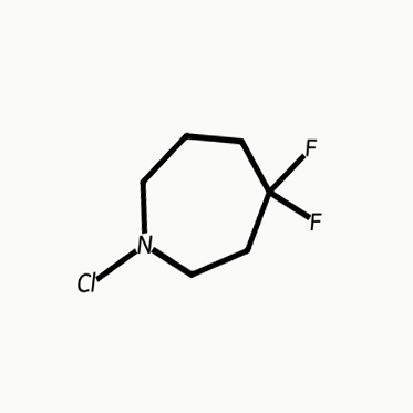 FC1(F)CCCN(Cl)CC1